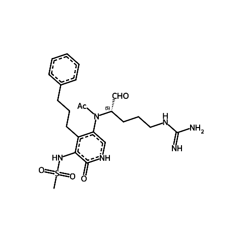 CC(=O)N(c1c[nH]c(=O)c(NS(C)(=O)=O)c1CCCc1ccccc1)[C@H](C=O)CCCNC(=N)N